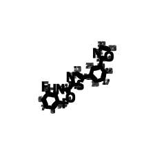 O=C(Nc1c(F)cccc1F)c1ncc(-c2cccc(-c3ncco3)c2)s1